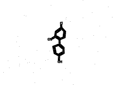 O=Nc1cc(Cl)ccc1-c1ccc(O)cc1